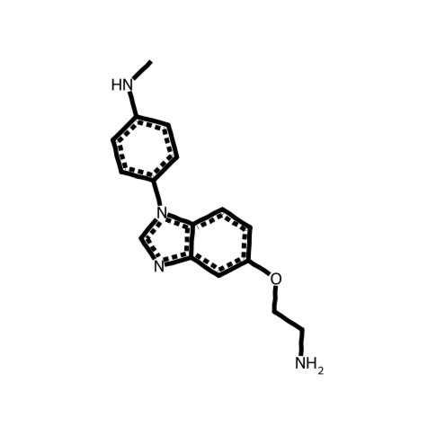 CNc1ccc(-n2cnc3cc(OCCN)ccc32)cc1